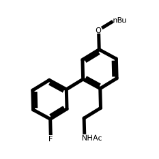 CCCCOc1ccc(CCNC(C)=O)c(-c2cccc(F)c2)c1